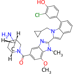 COc1cc(C(=O)N2C[C@H]3CC[C@@H]2C[C@@H]3N)cc2nc(-c3cc4cccc(-c5ccc(O)c(Cl)c5)c4n3CC3CC3)n(C)c12